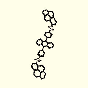 C[Si](C)(c1ccc(-c2c3ccccc3c(-c3ccc([Si](C)(C)c4ccc5ccc6cccc7ccc4c5c67)cc3)c3ccccc23)cc1)c1ccc2c3c4c(ccc13)C=CCC4=CC2